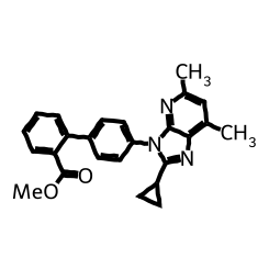 COC(=O)c1ccccc1-c1ccc(-n2c(C3CC3)nc3c(C)cc(C)nc32)cc1